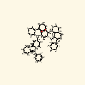 c1ccc(-c2ccccc2N(c2ccc(-c3cccc4ccc5c6ccccc6sc5c34)cc2)c2ccc3c(c2)c2ccccc2n3-c2ccccc2)cc1